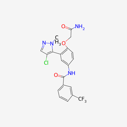 Cn1ncc(Cl)c1-c1cc(NC(=O)c2cccc(C(F)(F)F)c2)ccc1OCC(N)=O